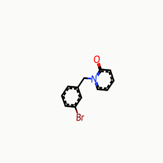 O=c1ccccn1Cc1cccc(Br)c1